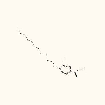 C=C(N)c1ccc(OCCCCCCCCCCBr)c(Cl)c1